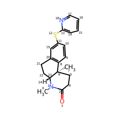 CN1C(=O)CC[C@]2(C)c3ccc(Sc4ccccn4)cc3CC[C@@H]12